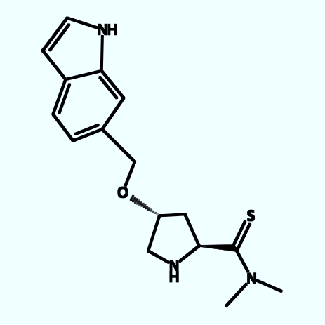 CN(C)C(=S)[C@@H]1C[C@@H](OCc2ccc3cc[nH]c3c2)CN1